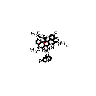 C=CC(=O)N1CCC(N(C)c2nc(OCC34CCCN3CC(F)C4)nc3c(F)c(-c4ccc(F)c5sc(N)c(C#N)c45)c(C(F)(F)F)cc23)C1CF